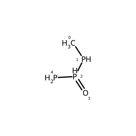 CP[PH](=O)P